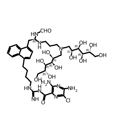 N=C(NCCCCc1ccc(C[C@@H](NC=O)NCCCN(C[C@H](O)[C@@H](O)[C@H](O)[C@H](O)CO)C[C@H](O)[C@@H](O)[C@H](O)[C@H](O)CO)c2ccccc12)NC(=O)c1nc(Cl)c(N)nc1N